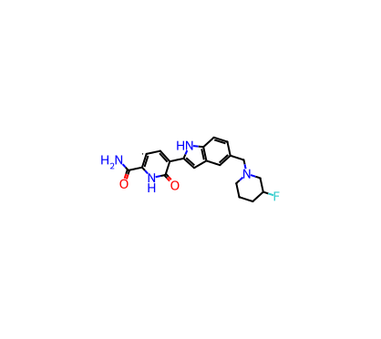 NC(=O)c1[c]cc(-c2cc3cc(CN4CCCC(F)C4)ccc3[nH]2)c(=O)[nH]1